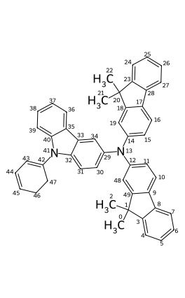 CC1(C)c2ccccc2-c2ccc(N(c3ccc4c(c3)C(C)(C)c3ccccc3-4)c3ccc4c(c3)c3ccccc3n4C3=CC=CCC3)cc21